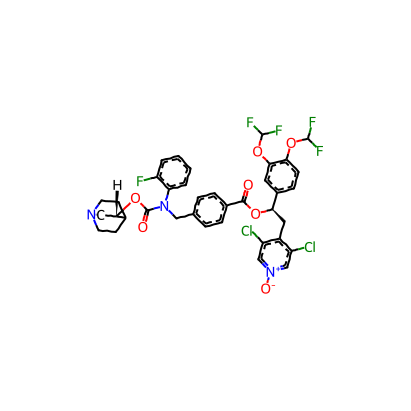 O=C(O[C@H](Cc1c(Cl)c[n+]([O-])cc1Cl)c1ccc(OC(F)F)c(OC(F)F)c1)c1ccc(CN(C(=O)O[C@H]2CN3CCC2CC3)c2ccccc2F)cc1